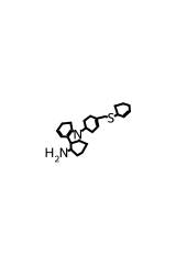 NC1CCCC2C1C1=C(CCC=C1)N2C1CC=C(CSC2C=CCCC2)CC1